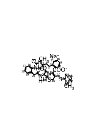 CN(C(=O)CCc1ccccc1)C(=O)Nc1ccccc1CC(=O)NC1C(=O)N2C(C(=O)[O-])=C(CSc3nnnn3C)CS[C@H]12.[Na+]